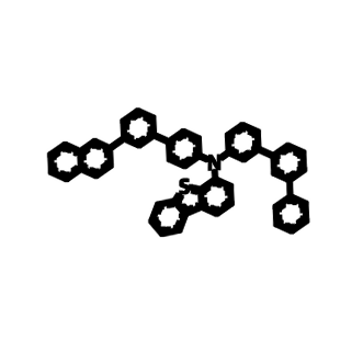 c1ccc(-c2cccc(-c3cccc(N(c4ccc(-c5cccc(-c6ccc7ccccc7c6)c5)cc4)c4cccc5c4sc4ccccc45)c3)c2)cc1